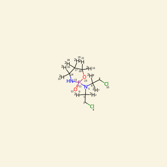 [2H]C([2H])(CCl)N(C([2H])([2H])CCl)P1(=O)NC([2H])([2H])C([2H])([2H])C([2H])([2H])O1